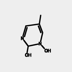 CC1=CN(O)C(O)N=C1